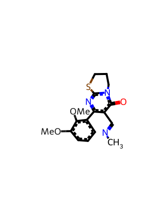 C/N=C/c1c(-c2cccc(OC)c2OC)nc2n(c1=O)CCCS2